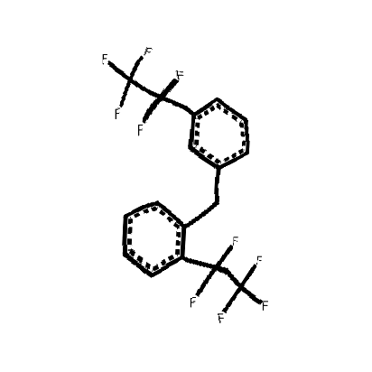 FC(F)(F)C(F)(F)c1cccc(Cc2ccccc2C(F)(F)C(F)(F)F)c1